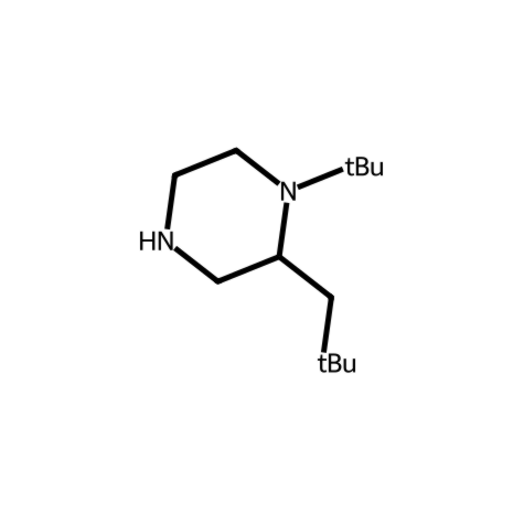 CC(C)(C)CC1CNCCN1C(C)(C)C